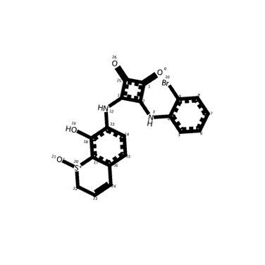 O=c1c(Nc2ccccc2Br)c(Nc2ccc3c(c2O)[S+]([O-])CC=C3)c1=O